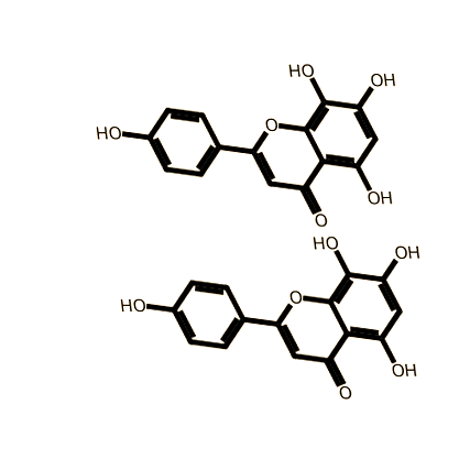 O=c1cc(-c2ccc(O)cc2)oc2c(O)c(O)cc(O)c12.O=c1cc(-c2ccc(O)cc2)oc2c(O)c(O)cc(O)c12